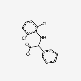 [O]C(=O)C(Nc1c(Cl)cccc1Cl)c1ccccc1